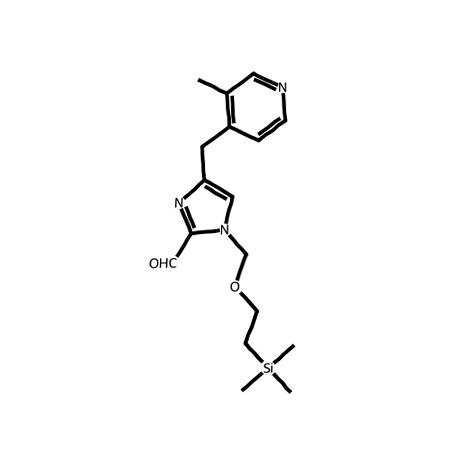 Cc1cnccc1Cc1cn(COCC[Si](C)(C)C)c(C=O)n1